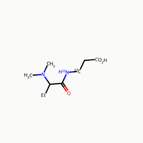 CN(C)C(C[13CH3])C(=O)[15NH][13CH2]CC(=O)O